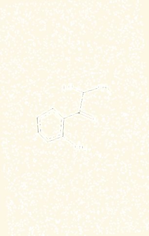 [CH2]c1ccccc1C(=O)C(C)O